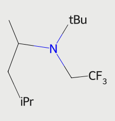 CC(C)CC(C)N(CC(F)(F)F)C(C)(C)C